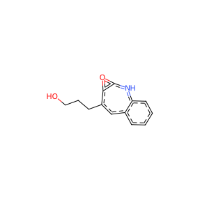 OCCCc1cc2ccccc2[nH]c2oc1=2